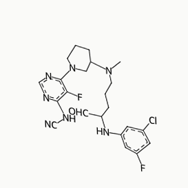 CN(CCCC(C=O)Nc1cc(F)cc(Cl)c1)C1CCCN(c2ncnc(NC#N)c2F)C1